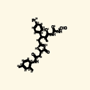 C/C(=C(/O)NC(=O)NC=O)C(CC1=NC(=O)C(CC(=O)Nc2ccc(C)cc2C)S1)c1ccc(C(C)C)cc1